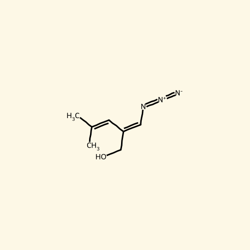 CC(C)=C/C(=C\N=[N+]=[N-])CO